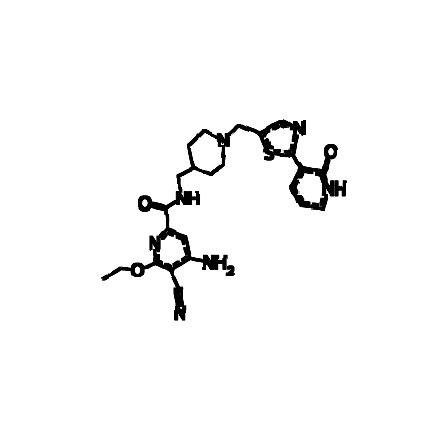 CCOc1nc(C(=O)NCC2CCN(Cc3cnc(-c4ccc[nH]c4=O)s3)CC2)cc(N)c1C#N